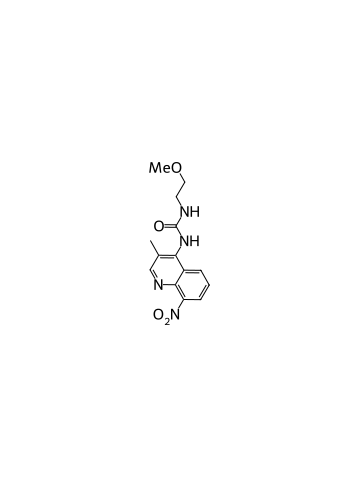 COCCNC(=O)Nc1c(C)cnc2c([N+](=O)[O-])cccc12